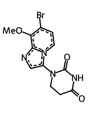 COc1c(Br)ccn2c(N3CCC(=O)NC3=O)cnc12